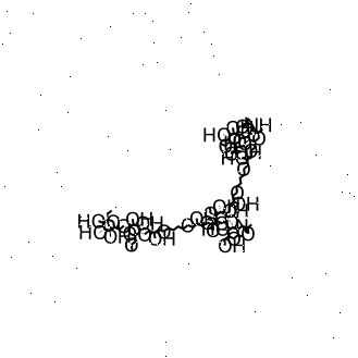 CC[C@H]1OC(CO[C@H]2OC(COC)[C@@H](OCC(O)COCCCCOCC(O)COC(=O)C3O[C@@H](O[C@@H]4C(NC(C)=O)C(C)OC(CO)[C@H]4O)C(OCC(O)COCCCCOCC(O)COCC4OC(C)C(NC(C)=O)[C@@H](O[C@@H]5OC(C(=O)O)[C@@H](OC)[C@H](O)C5O)[C@@H]4O)[C@@H](O)[C@@H]3OC)[C@H](O)C2O)[C@@H](O)[C@H](O)C1O